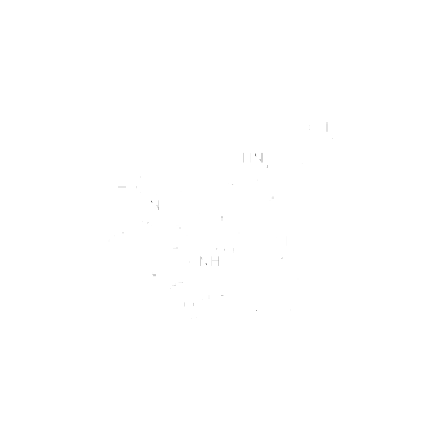 C=CC(=O)Nc1ccc(Oc2c(C)cccc2C)c(-c2cn(C)c(=O)c3c2NC(=O)C3)c1